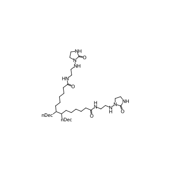 CCCCCCCCCCC(CCCCCC(=O)NCCNN1CCNC1=O)C(CCCCCCCCCC)CCCCCC(=O)NCCNN1CCNC1=O